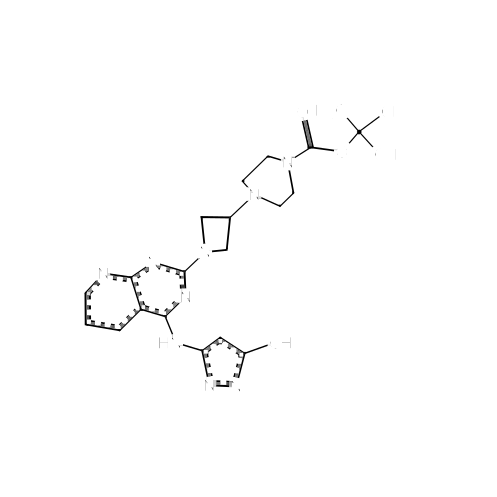 Cc1cc(Nc2nc(N3CC(N4CCN(C(=O)OC(C)(C)C)CC4)C3)nc3ncccc23)[nH]n1